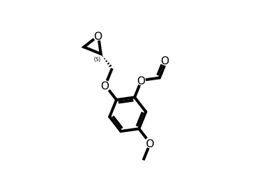 COc1ccc(OC[C@@H]2CO2)c(OC=O)c1